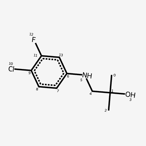 CC(C)(O)CNc1ccc(Cl)c(F)c1